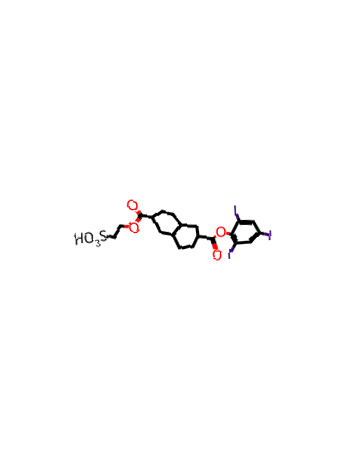 O=C(OCCS(=O)(=O)O)C1CCC2CC(C(=O)Oc3c(I)cc(I)cc3I)CCC2C1